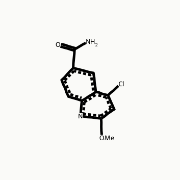 COc1cc(Cl)c2cc(C(N)=O)ccc2n1